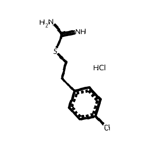 Cl.N=C(N)SCCc1ccc(Cl)cc1